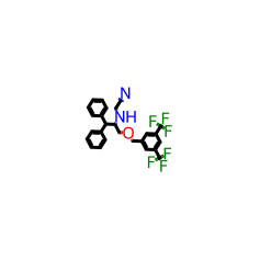 N#CCNC(COCc1cc(C(F)(F)F)cc(C(F)(F)F)c1)C(c1ccccc1)c1ccccc1